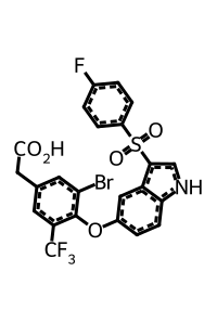 O=C(O)Cc1cc(Br)c(Oc2ccc3[nH]cc(S(=O)(=O)c4ccc(F)cc4)c3c2)c(C(F)(F)F)c1